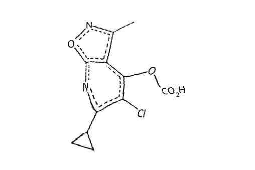 Cc1noc2nc(C3CC3)c(Cl)c(OC(=O)O)c12